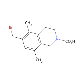 Cc1cc(CBr)c(C)c2c1CN(C(=O)O)CC2